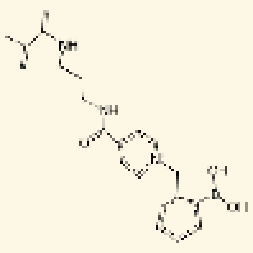 C=C(C)C(=C)NCCCNC(=O)c1cc[n+](Cc2ccccc2B(O)O)cc1